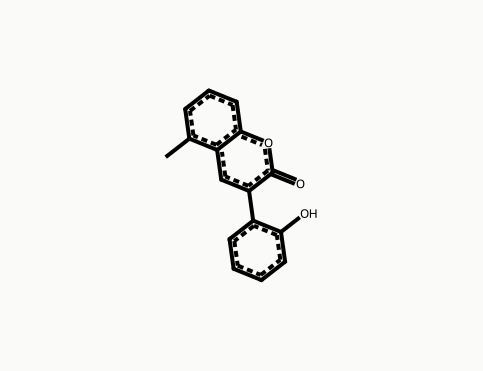 Cc1cccc2oc(=O)c(-c3ccccc3O)cc12